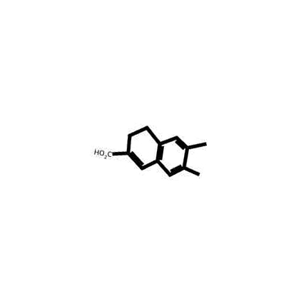 Cc1cc2c(cc1C)CCC(C(=O)O)=C2